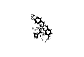 COc1ccc(CN(Cc2ccc(OC)cc2)S(=O)(=O)[C@H](C)[C@@H](OC)C2CCC2)cc1